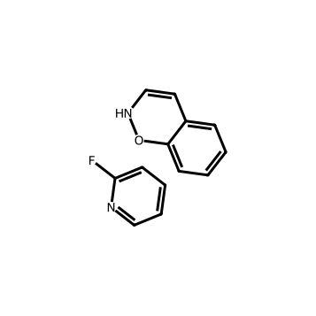 C1=Cc2ccccc2ON1.Fc1ccccn1